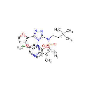 COc1cccc(OC)c1-n1c(-c2ccco2)nnc1N(CC[Si](C)(C)C)S(=O)(=O)[C@H](C)[C@H](C)c1ncc(F)cn1